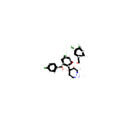 Fc1ccc(CO[C@]2(c3ccc(Cl)cc3)CCNC[C@@H]2OCc2ccc(Cl)c(Cl)c2)cc1